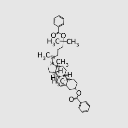 C[C@H](CCCC(C)(C)OC(=O)c1ccccc1)[C@H]1CC[C@H]2[C@@H]3CC=C4CC(OC(=O)c5ccccc5)CC[C@]4(C)[C@H]3CC[C@]12C